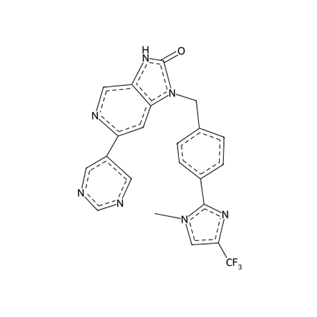 Cn1cc(C(F)(F)F)nc1-c1ccc(Cn2c(=O)[nH]c3cnc(-c4cncnc4)cc32)cc1